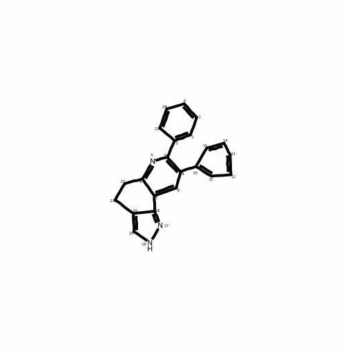 [c]1ccc(-c2nc3c(cc2-c2ccccc2)-c2n[nH]cc2CC3)cc1